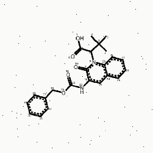 CC(C)(C)C(C(=O)O)n1c(=O)c(NC(=O)OCc2ccccc2)cc2ccccc21